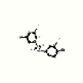 CCc1ccc(NS(=O)(=O)c2cc(Cl)cc(Cl)c2)cc1F